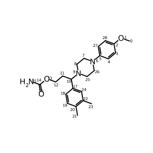 COc1ccc(N2CCN(C(CCOC(N)=O)c3ccc(C)c(C)c3)CC2)cc1